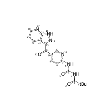 CC(C)(C)C(=O)NC(=O)Nc1ccc(C(=O)c2n[nH]c3ncccc23)cn1